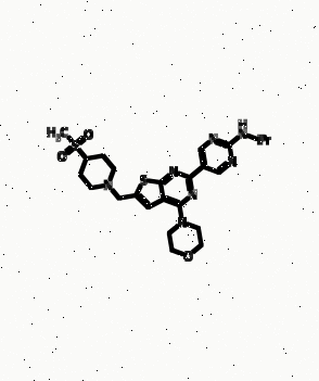 CC(C)Nc1ncc(-c2nc(N3CCOCC3)c3cc(CN4CCC(S(C)(=O)=O)CC4)sc3n2)cn1